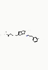 Cc1cccc(C[C@H](O)/C=C/[C@@H]2[C@H]3CC(CSCCC(=O)N(C)C)=C[C@H]3C[C@H]2O)c1